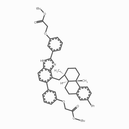 CC(C)c1ccc2c(c1)CC[C@H]1[C@@](C)(Cc3c(-c4cccc(OCC(=O)OC(C)(C)C)c4)ccc4[nH]c(-c5cccc(OCC(=O)OC(C)(C)C)c5)nc34)CCC[C@]21C